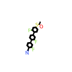 CC(=O)Sc1ccc(-c2ccc(-c3ccc(C#N)c(F)c3)c(F)c2)c(F)c1